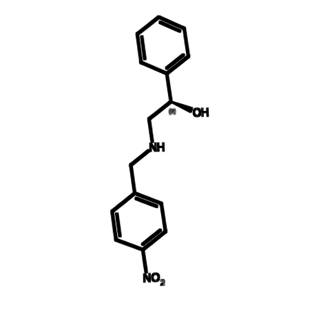 O=[N+]([O-])c1ccc(CNC[C@H](O)c2ccccc2)cc1